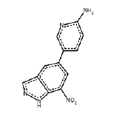 Nc1ccc(-c2cc([N+](=O)[O-])c3[nH]ncc3c2)cn1